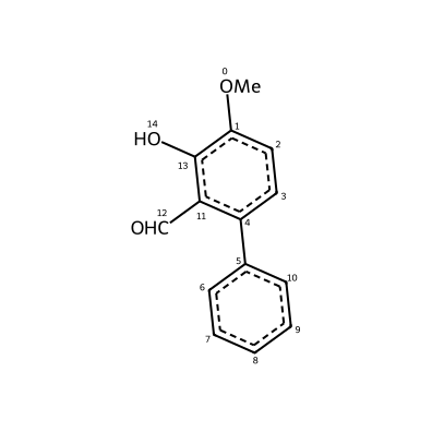 COc1ccc(-c2ccccc2)c(C=O)c1O